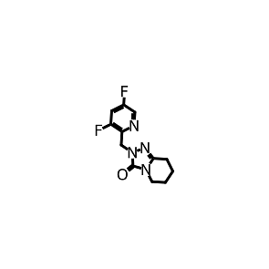 O=c1n(Cc2ncc(F)cc2F)nc2n1CCCC2